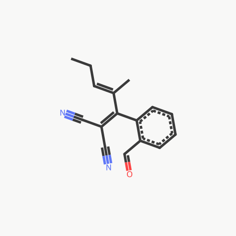 CC/C=C(\C)C(=C(C#N)C#N)c1ccccc1C=O